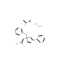 C=C(C(=O)O)C(C=Cc1ccccc1)(C=C(C)C(=O)O)Cc1ccccc1.C=C(C)C(=O)OCCCCCCCCCCCC